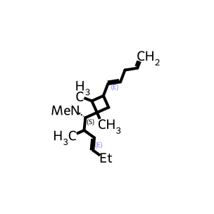 C=CC/C=C/C1CC(C)([C@@H](NC)C(C)/C=C/CC)C1C